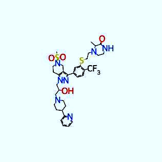 CC1C(=O)NCCN1CCSc1cc(-c2nn(CC(O)CN3CCC(c4ccccn4)CC3)c3c2CN(S(C)(=O)=O)CC3)ccc1C(F)(F)F